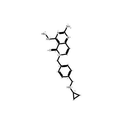 CCCCNc1nc(N)nc2ccn(Cc3ccc(CNC4CC4)cc3)c(=O)c12